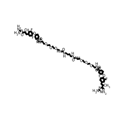 C/C(=C\c1cc(F)c(Oc2ccc(S(=O)(=O)NCCOCCOCCOCCNC(=O)NCCCCNC(=O)NCCOCCOCCOCCNS(=O)(=O)c3ccc(Oc4c(F)cc(/C=C(\C)C(=O)N=C(N)N)cc4F)cc3)cc2)c(F)c1)C(=O)N=C(N)N